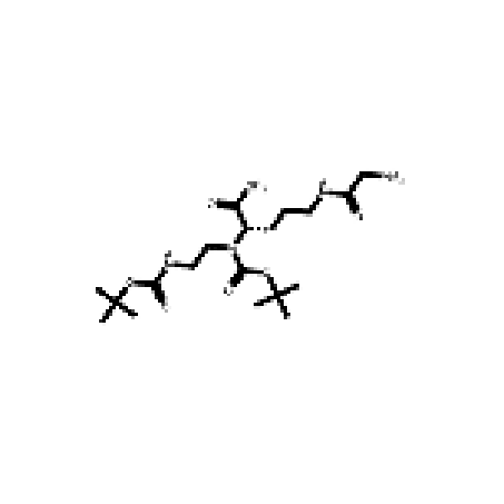 CC(C)(C)OC(=O)NCCN(C(=O)OC(C)(C)C)[C@@H](CCCNC(=O)CN)C(N)=O